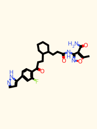 Cc1onc(NC(=O)CCC2CCCCC2CCC(=O)c2ccc(-c3ccn[nH]3)cc2F)c1C(N)=O